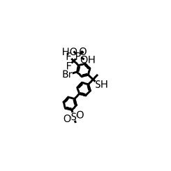 CC(S)(c1ccc(-c2cccc(S(C)(=O)=O)c2)cc1)c1ccc(C(F)(F)P(=O)(O)O)c(Br)c1